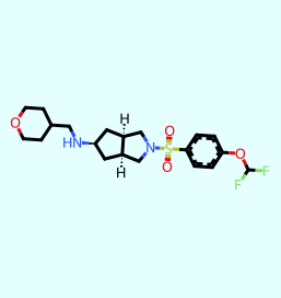 O=S(=O)(c1ccc(OC(F)F)cc1)N1C[C@H]2C[C@@H](NCC3CCOCC3)C[C@H]2C1